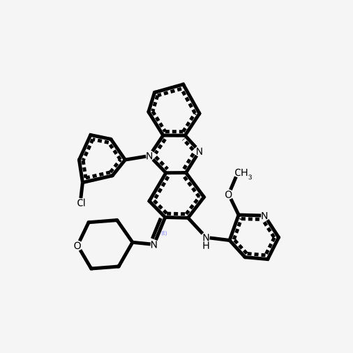 COc1ncccc1Nc1cc2nc3ccccc3n(-c3cccc(Cl)c3)c-2c/c1=N\C1CCOCC1